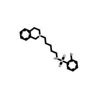 O=S(=O)(NCCCCCN1CCc2ccccc2C1)c1ccccc1Br